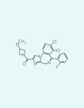 COC1CN(C(=O)c2cn3c(n2)CN=C(c2ccccc2F)c2c-3ccc(Cl)c2Cl)C1